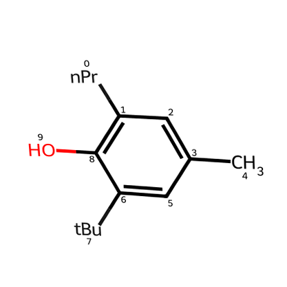 CCCc1cc(C)cc(C(C)(C)C)c1O